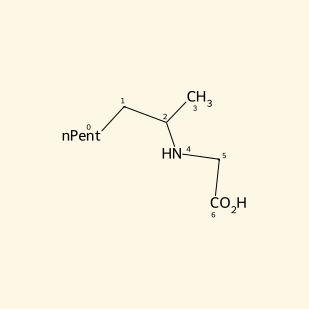 CCCCCCC(C)NCC(=O)O